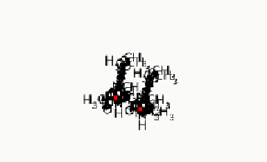 Cc1cc2[nH]ncc2c(-c2c(N3CCC(=O)CC3(C)C)nn(C3CC4(C3)CN(C(=O)OC(C)(C)C)C4)c2C)c1Cl.Cc1cc2[nH]ncc2c(-c2c(N3CCC(N(C)C4COC4)CC3(C)C)nn(C3CC4(C3)CN(C(=O)OC(C)(C)C)C4)c2C)c1Cl